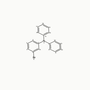 Brc1cccc(N(C2=CC=C=C=C2)c2ccccc2)c1